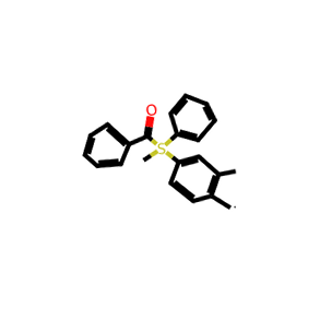 [CH2]c1ccc(S(C)(C(=O)c2ccccc2)c2ccccc2)cc1C